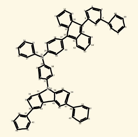 c1ccc(-c2cccc(-c3c4ccccc4c(-c4ccc(N(c5ccccc5)c5ccc(-n6c7ccc(-c8ccccc8)cc7c7cc(-c8ccccc8)ccc76)cc5)cc4)c4ccccc34)c2)cc1